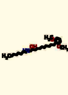 CCCCCCCCNCC(O)CCCCCCCCCc1c(OC)cccc1OC